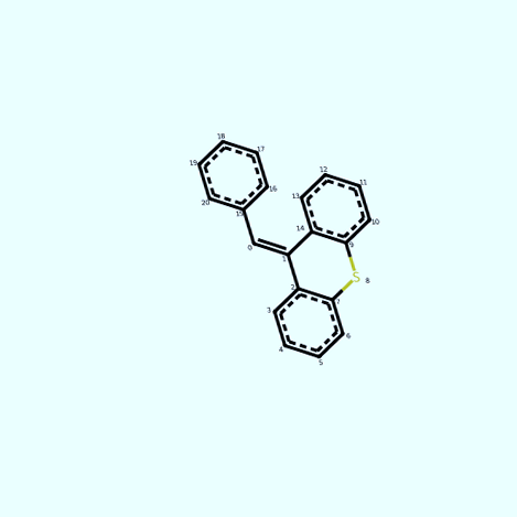 C(=C1c2ccccc2Sc2ccccc21)c1ccccc1